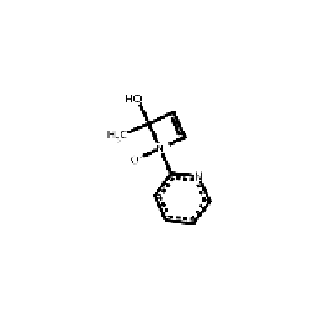 CC1(O)C=C[N+]1([O-])c1ccccn1